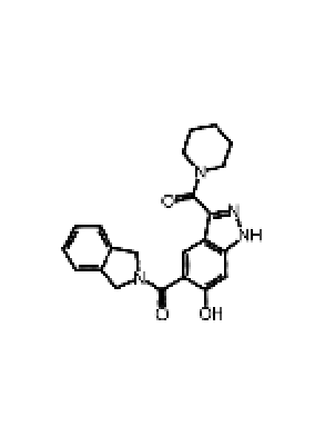 O=C(c1cc2c(C(=O)N3CCCCC3)n[nH]c2cc1O)N1Cc2ccccc2C1